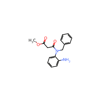 COC(=O)CC(=O)N(Cc1ccccc1)c1ccccc1N